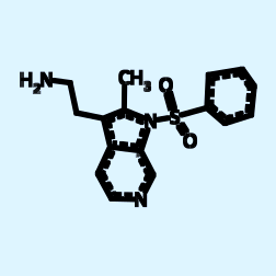 Cc1c(CCN)c2ccncc2n1S(=O)(=O)c1ccccc1